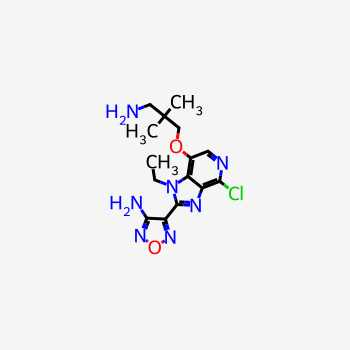 CCn1c(-c2nonc2N)nc2c(Cl)ncc(OCC(C)(C)CN)c21